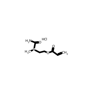 C=CC(=O)OCCN(C)C(N)=O.Cl